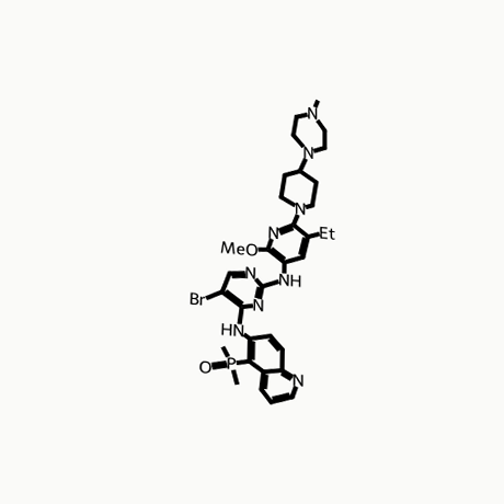 CCc1cc(Nc2ncc(Br)c(Nc3ccc4ncccc4c3P(C)(C)=O)n2)c(OC)nc1N1CCC(N2CCN(C)CC2)CC1